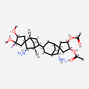 COC1CC2(C[C@]1(I)OC)[C@@H]1CC(C3CC4CC(C3)C3(CC(OC(C)=O)[C@@H](OC(C)=O)C3)[C@@H]4N)[C@@H](C1)[C@H]2N